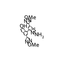 COc1ncc(-c2cc(-c3cc(-c4cnc(OC)nc4)cc4sc(N)nc34)c3cc(O)ccc3c2)cn1